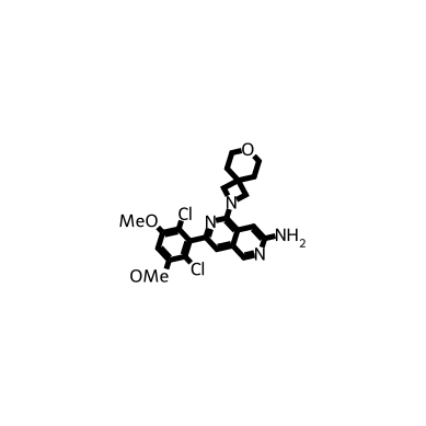 COc1cc(OC)c(Cl)c(-c2cc3cnc(N)cc3c(N3CC4(CCOCC4)C3)n2)c1Cl